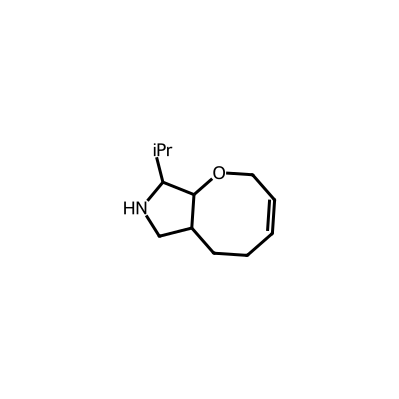 CC(C)C1NCC2CCC=CCOC21